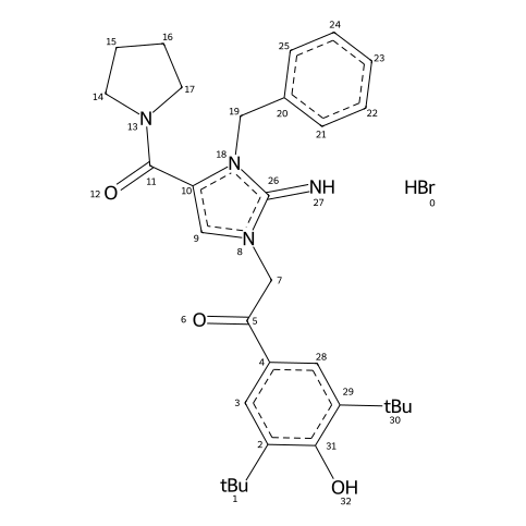 Br.CC(C)(C)c1cc(C(=O)Cn2cc(C(=O)N3CCCC3)n(Cc3ccccc3)c2=N)cc(C(C)(C)C)c1O